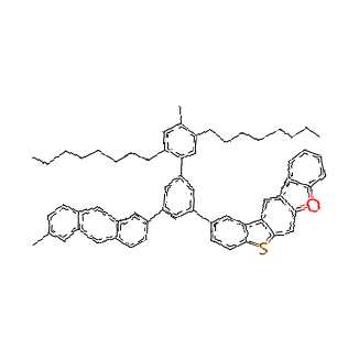 CCCCCCCCc1cc(-c2cc(-c3ccc4cc5cc(C)ccc5cc4c3)cc(-c3ccc4sc5cc6oc7ccccc7c6cc5c4c3)c2)c(CCCCCCCC)cc1C